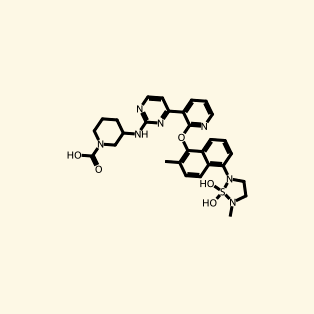 Cc1ccc2c(N3CCN(C)S3(O)O)cccc2c1Oc1ncccc1-c1ccnc(NC2CCCN(C(=O)O)C2)n1